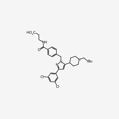 CC(C)(C)CN1CCC(c2cc(-c3cc(Cl)cc(Cl)c3)nn2Cc2ccc(C(=O)NCCC(=O)O)cc2)CC1